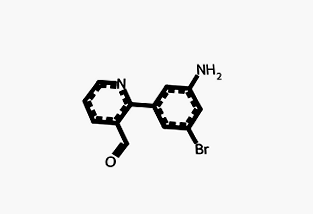 Nc1cc(Br)cc(-c2ncccc2C=O)c1